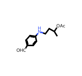 CC(=O)OC(C)CCNc1ccc(C=O)cc1